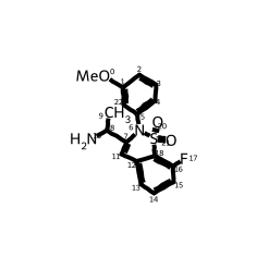 COc1cccc(N2C(C(C)N)=Cc3cccc(F)c3S2(=O)=O)c1